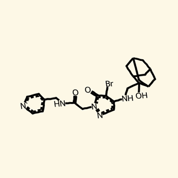 O=C(Cn1ncc(NCC2(O)C3CC4CC(C3)CC2C4)c(Br)c1=O)NCc1ccncc1